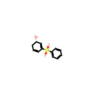 O=S(=O)(C1=C[C@@H](O)CC=C1)c1ccccc1